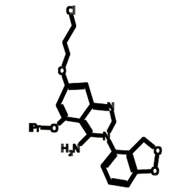 CC(C)Oc1cc(OCCCCl)cc2c1=C(N)N(c1cccc3c1COO3)CN=2